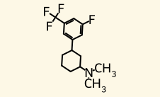 CN(C)C1CCCC(c2cc(F)cc(C(F)(F)F)c2)C1